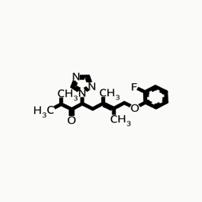 C/C(COc1ccccc1F)=C(/C)CC(C(=O)C(C)C)n1cncn1